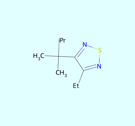 CCc1nsnc1C(C)(C)C(C)C